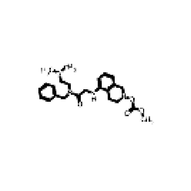 COC(=O)ON1CCc2c(cccc2NCC(=O)N(CCN(C)C)Cc2ccccc2)C1